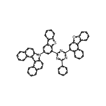 c1ccc(-c2nc(-c3cc4oc5ccccc5c4c4ccccc34)nc(-c3cc(-n4c5ccc6ccccc6c5c5c6ccccc6ccc54)cc4c3sc3ccccc34)n2)cc1